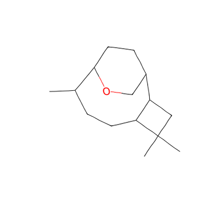 CC1CCC2C(CC2(C)C)C2CCC1OC2